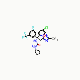 Cc1noc(C[C@@](NC(=O)NC2CCCC2)(c2cc(F)cc(C(F)(F)F)c2)c2ccc(Cl)cn2)n1